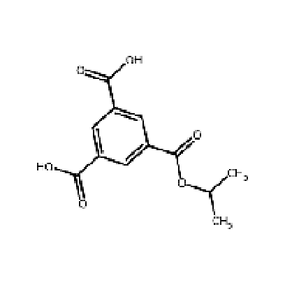 CC(C)OC(=O)c1cc(C(=O)O)cc(C(=O)O)c1